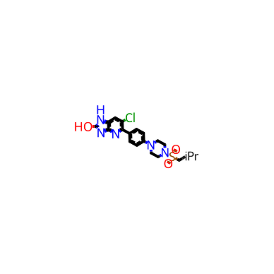 CC(C)CS(=O)(=O)N1CCN(c2ccc(-c3nc4nc(O)[nH]c4cc3Cl)cc2)CC1